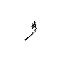 CCC(=O)Oc1c(C)c(C/C=C(\C)CC/C=C(\C)CC/C=C(\C)CC/C=C(\C)CC/C=C(\C)CCC=C(C)C)c(OC(=O)CC)c(OC)c1OC